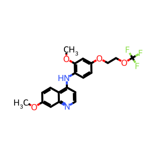 COc1ccc2c(Nc3ccc(OCCOC(F)(F)F)cc3OC)ccnc2c1